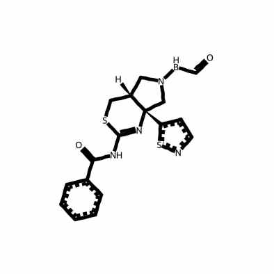 O=CBN1C[C@H]2CSC(NC(=O)c3ccccc3)=N[C@@]2(c2ccns2)C1